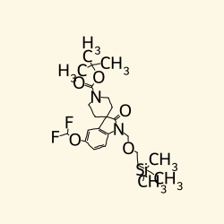 CC(C)(C)OC(=O)N1CCC2(CC1)C(=O)N(COCC[Si](C)(C)C)c1ccc(OC(F)F)cc12